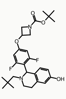 CC(C)(C)CN1CCc2cc(O)ccc2C1c1c(F)cc(OC2CN(C(=O)OC(C)(C)C)C2)cc1F